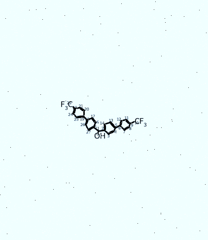 OC(c1ccc(-c2ccc(C(F)(F)F)cc2)cc1)c1ccc(-c2ccc(C(F)(F)F)cc2)cc1